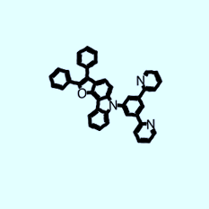 c1ccc(-c2oc3c(ccc4c3c3ccccc3n4-c3cc(-c4ccccn4)cc(-c4ccccn4)c3)c2-c2ccccc2)cc1